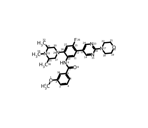 COc1cccc(C(=O)Nc2cc(-c3cnc(N4CCOCC4)nc3)c(F)cc2N2CC(C)N(C)C(C)C2)c1